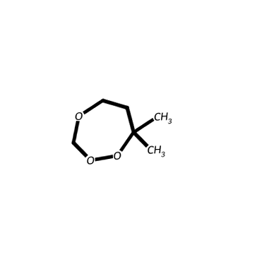 CC1(C)CCOCOO1